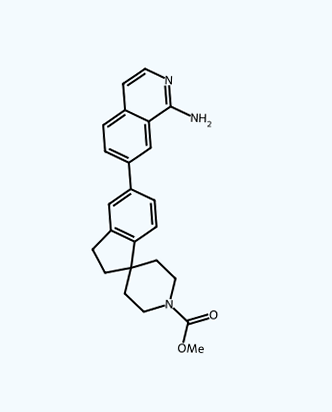 COC(=O)N1CCC2(CCc3cc(-c4ccc5ccnc(N)c5c4)ccc32)CC1